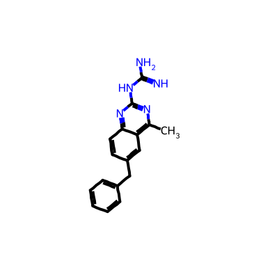 Cc1nc(NC(=N)N)nc2ccc(Cc3ccccc3)cc12